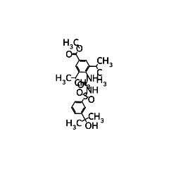 COC(=O)c1cc(C(C)C)c(NC(=O)NS(=O)(=O)c2cccc(C(C)(C)O)c2)c(C(C)C)c1